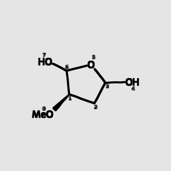 CO[C@@H]1CC(O)OC1O